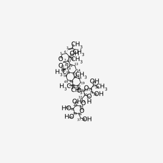 CC(C)=C[C@H]1CO[C@]23C[C@]4(CO2)C(CCC2[C@@]5(C)CC[C@H](O[C@H](OC(CO)[C@H](C)O)[C@@H](O)CO[C@@H]6OC(CO)[C@@H](O)C(O)[C@@H]6O)C(C)(C)C5CC[C@]24C)C3C1(C)O